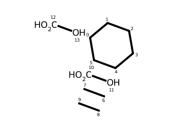 C1CCCCC1.CC.CC.O=C(O)O.O=C(O)O